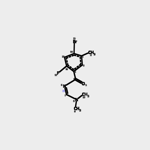 Cc1cc(C(=O)/N=C\N(C)C)c(F)cc1Br